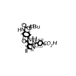 CC(C)(C)OC(=O)NC1CCC(NC(=O)c2cc(F)cnc2NC2CCC(C(=O)O)CC2)CC1